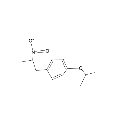 CC(C)Oc1ccc(CC(C)[N+](=O)[O-])cc1